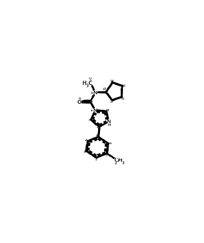 Cc1cccc(-c2cn(C(=O)N(C)C3CCCC3)cn2)c1